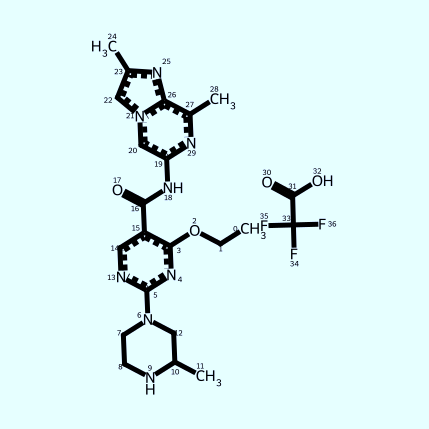 CCOc1nc(N2CCNC(C)C2)ncc1C(=O)Nc1cn2cc(C)nc2c(C)n1.O=C(O)C(F)(F)F